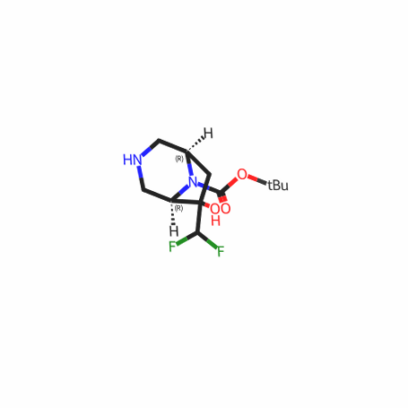 CC(C)(C)OC(=O)N1[C@H]2CNC[C@@H]1C(O)(C(F)F)C2